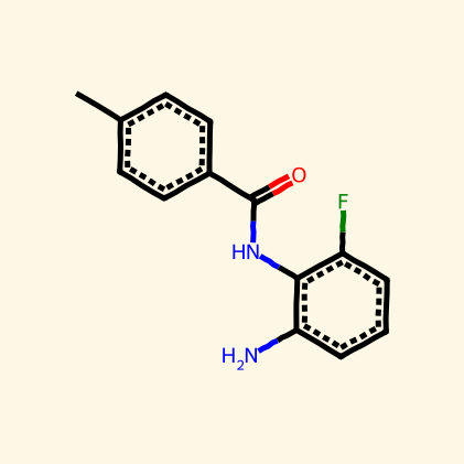 Cc1ccc(C(=O)Nc2c(N)cccc2F)cc1